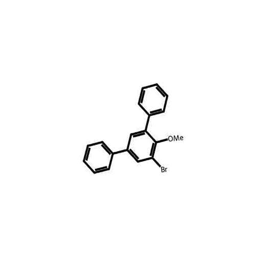 COc1c(Br)cc(-c2ccccc2)cc1-c1ccccc1